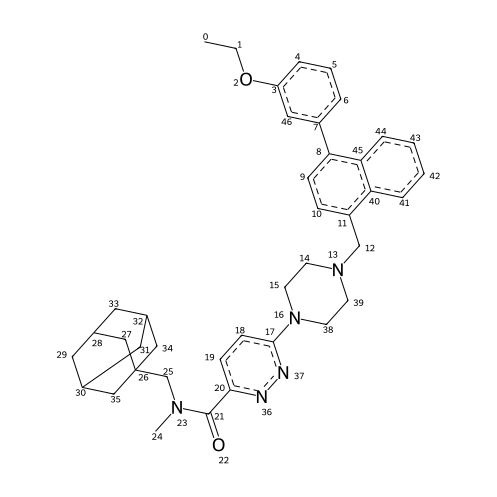 CCOc1cccc(-c2ccc(CN3CCN(c4ccc(C(=O)N(C)CC56CC7CC(CC(C7)C5)C6)nn4)CC3)c3ccccc23)c1